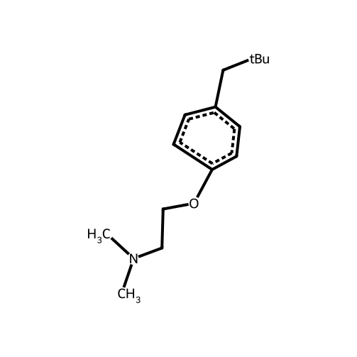 CN(C)CCOc1ccc(CC(C)(C)C)cc1